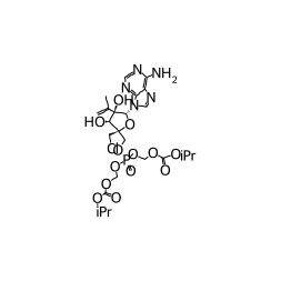 C=C(C)[C@@]1(O)[C@H](O)[C@@](CCl)(COP(=O)(OCOC(=O)OC(C)C)OCOC(=O)OC(C)C)O[C@H]1n1cnc2c(N)ncnc21